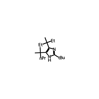 CCCC(C)(C)c1[nH]c(C(C)(C)C)nc1C(C)(CC)CC